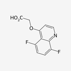 O=C(O)COc1ccnc2c(F)ccc(F)c12